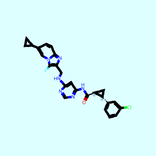 O=C(Nc1cc(NCc2nc3ccc(C4CC4)cn3c2F)ncn1)[C@H]1C[C@@H]1c1cccc(Cl)c1